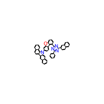 c1ccc(-c2nc(-c3ccc4ccccc4c3)nc(-c3cccc4oc5cc(-n6c7cc8ccccc8cc7c7ccc8ccccc8c76)ccc5c34)n2)cc1